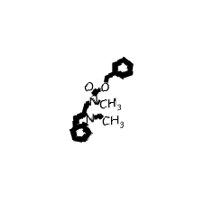 CCn1c(CN(C)C(=O)OCc2ccccc2)cc2ccccc21